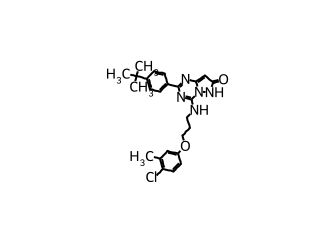 Cc1cc(OCCCNc2nc(-c3ccc(C(C)(C)C)cc3)nc3cc(=O)[nH]n23)ccc1Cl